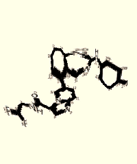 O=C(NCC(F)F)c1cnc2ccc(C3=CCCCc4nc(NC5CCC(I)CC5)ncc43)cn12